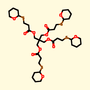 O=C(CCSC1CCCCO1)OCC(COC(=O)CCSC1CCCCO1)(COC(=O)CCSC1CCCCO1)COC(=O)CCSC1CCCCO1